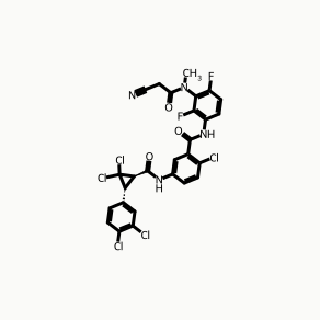 CN(C(=O)CC#N)c1c(F)ccc(NC(=O)c2cc(NC(=O)[C@H]3[C@H](c4ccc(Cl)c(Cl)c4)C3(Cl)Cl)ccc2Cl)c1F